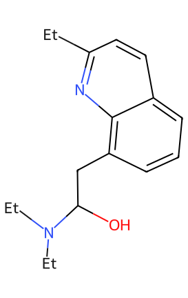 CCc1ccc2cccc(CC(O)N(CC)CC)c2n1